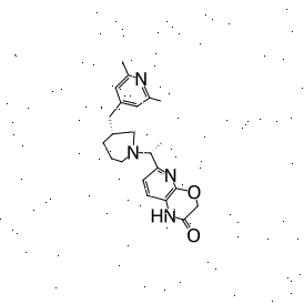 Cc1cc(C[C@H]2CCCN([C@H](C)c3ccc4c(n3)OCC(=O)N4)C2)cc(C)n1